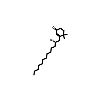 CCCCCCCCCCCC(O)CC1=CC(=O)CCC1(C)C